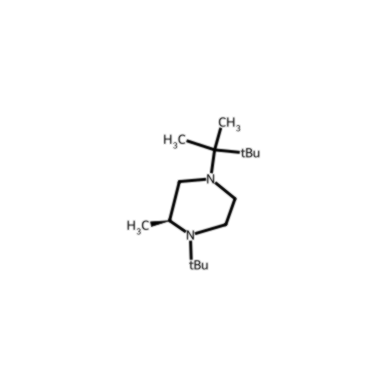 C[C@H]1CN(C(C)(C)C(C)(C)C)CCN1C(C)(C)C